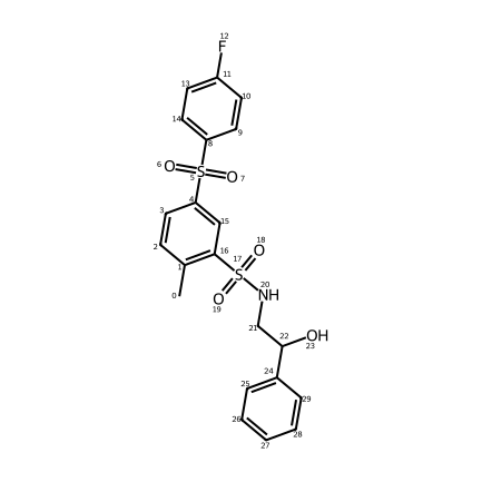 Cc1ccc(S(=O)(=O)c2ccc(F)cc2)cc1S(=O)(=O)NCC(O)c1ccccc1